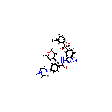 CN1CCN(c2ccc(C(=O)Nc3n[nH]c4ccc(S(=O)(=O)c5cccc(F)c5)cc34)c(NC3CCOCC3)c2)CC1